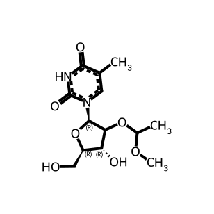 COC(C)OC1[C@H](n2cc(C)c(=O)[nH]c2=O)O[C@H](CO)[C@H]1O